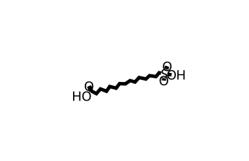 O=C(O)CCCCCCCCCCCCCCS(=O)(=O)O